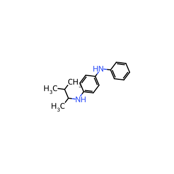 CC(C)C(C)Nc1ccc(Nc2ccccc2)cc1